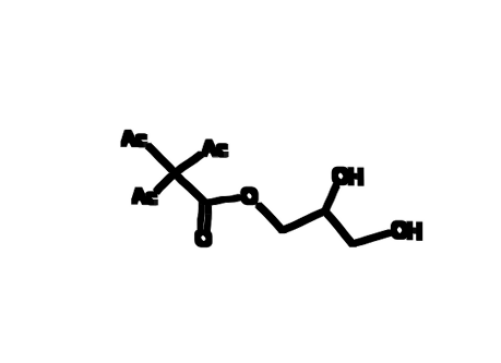 CC(=O)C(C(C)=O)(C(C)=O)C(=O)OCC(O)CO